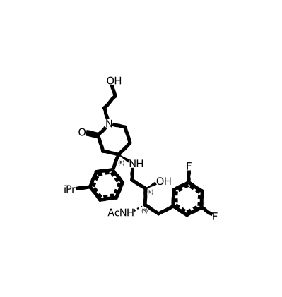 CC(=O)N[C@@H](Cc1cc(F)cc(F)c1)[C@H](O)CN[C@]1(c2cccc(C(C)C)c2)CCN(CCO)C(=O)C1